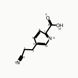 N#CCCc1ccc(C(=O)O)nc1